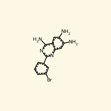 Nc1cc2nc(-c3cccc(Br)c3)nc(N)c2cc1N